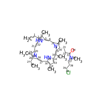 C=Cc1c(C)c2cc3nc(c(C)c4cc(C)c(cc5nc(cc1[nH]2)C(C)=C5CC)[nH]4)[C@@H](CCC(=O)N(C)CCCCl)[C@@H]3C